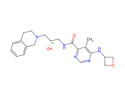 Cc1c(NC2COC2)ncnc1C(=O)NC[C@H](O)CN1CCc2ccccc2C1